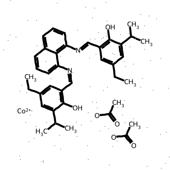 CC(=O)[O-].CC(=O)[O-].CCc1cc(C=Nc2cccc3cccc(N=Cc4cc(CC)cc(C(C)C)c4O)c23)c(O)c(C(C)C)c1.[Co+2]